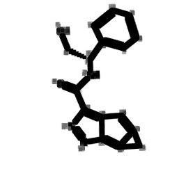 O=C(N[C@H](CO)c1ccccc1)C1=C2C=C3CC3=C2N=N1